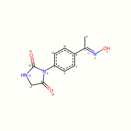 C/C(=N\O)c1ccc(N2C(=O)CNC2=O)cc1